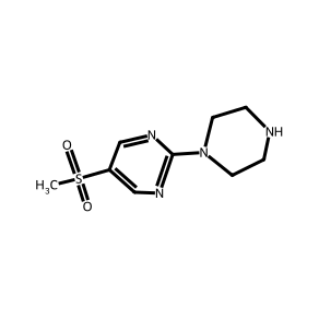 CS(=O)(=O)c1cnc(N2CCNCC2)nc1